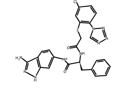 Nc1n[nH]c2cc(NC(=O)[C@H](Cc3ccccc3)NC(=O)CSc3cc(Cl)ccc3-n3cnnn3)ccc12